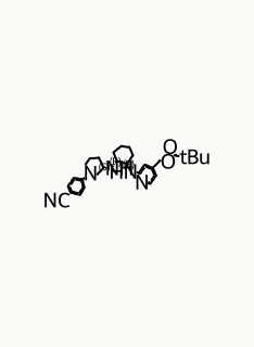 CC(C)(C)C(=O)OCc1ccnc(N[C@@H]2CCCC[C@H]2N[C@H]2CCCN(c3ccc(C#N)cc3)C2)c1